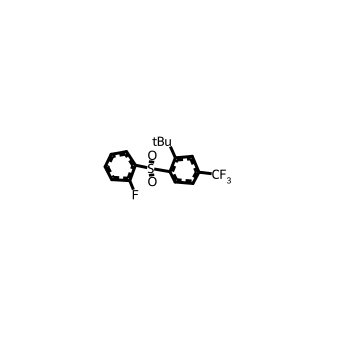 CC(C)(C)c1cc(C(F)(F)F)ccc1S(=O)(=O)c1ccccc1F